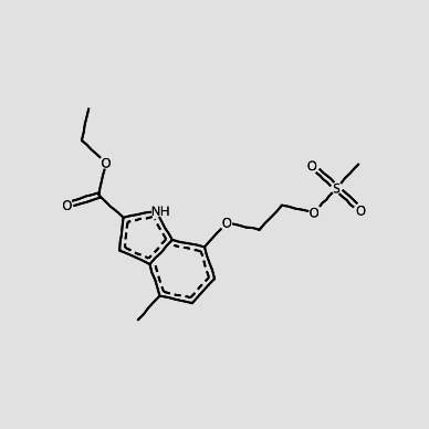 CCOC(=O)c1cc2c(C)ccc(OCCOS(C)(=O)=O)c2[nH]1